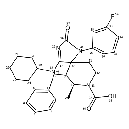 C[C@H]1C(Cc2ccccc2)C2(CCN1C(=O)O)C(NC1CCCCC1)=NC(=O)N2c1cccc(F)c1